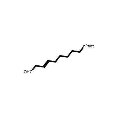 CCCCCCCCCCC=CCC=O